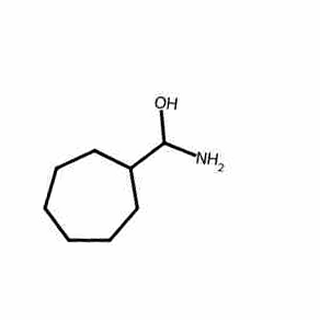 NC(O)C1CCCCCC1